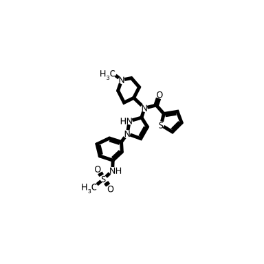 CN1CCC(N(C(=O)c2cccs2)C2C=CN(c3cccc(NS(C)(=O)=O)c3)N2)CC1